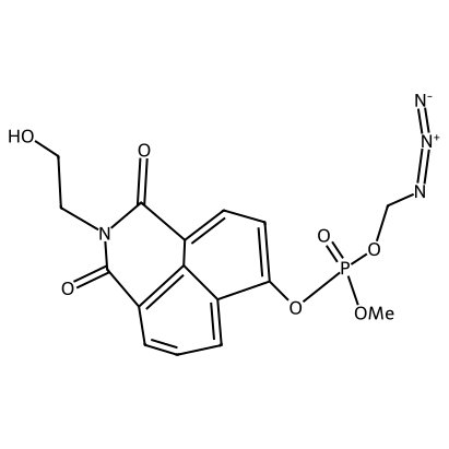 COP(=O)(OCN=[N+]=[N-])Oc1ccc2c3c(cccc13)C(=O)N(CCO)C2=O